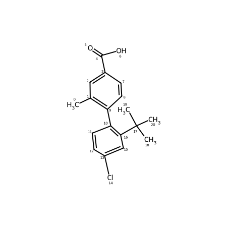 Cc1cc(C(=O)O)ccc1-c1ccc(Cl)cc1C(C)(C)C